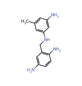 Cc1cc(N)cc(NCc2cc(N)ccc2N)c1